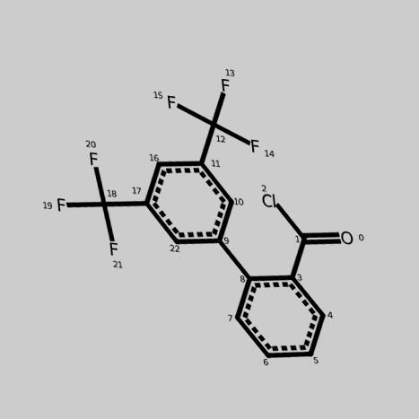 O=C(Cl)c1ccccc1-c1cc(C(F)(F)F)cc(C(F)(F)F)c1